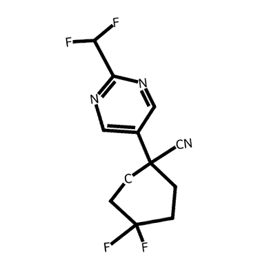 N#CC1(c2cnc(C(F)F)nc2)CCC(F)(F)CC1